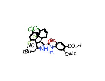 COc1cc(NC(=O)[C@@H]2N[C@@H](CC(C)(C)C)[C@@](C#N)(c3ccc(Cl)cc3F)[C@H]2c2cccc(Cl)c2F)c(Br)cc1C(=O)O